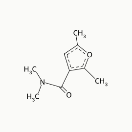 Cc1cc(C(=O)N(C)C)c(C)o1